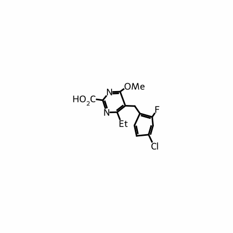 CCc1nc(C(=O)O)nc(OC)c1Cc1ccc(Cl)cc1F